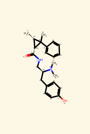 C[C@H]1[C@@H](C(=O)NC[C@H](Cc2ccc(O)cc2)N(C)C)C1(C)c1ccccc1